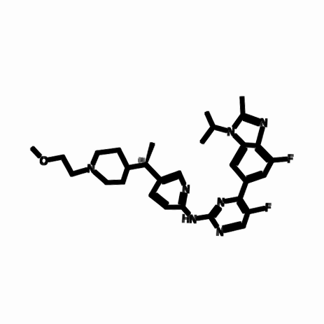 COCCN1CCC([C@@H](C)c2ccc(Nc3ncc(F)c(-c4cc(F)c5nc(C)n(C(C)C)c5c4)n3)nc2)CC1